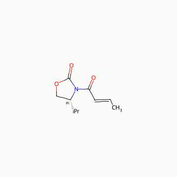 CC=CC(=O)N1C(=O)OC[C@H]1C(C)C